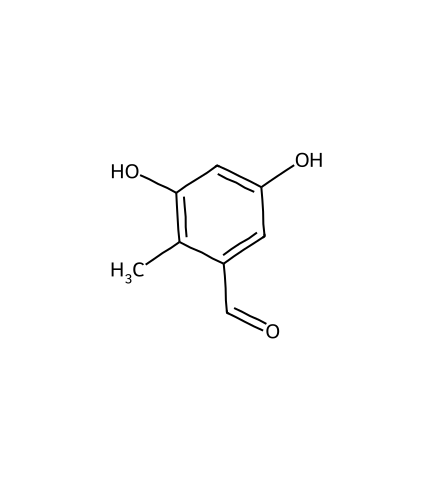 Cc1c(O)cc(O)cc1C=O